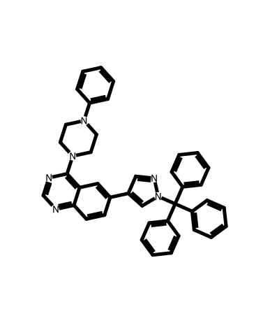 c1ccc(N2CCN(c3ncnc4ccc(-c5cnn(C(c6ccccc6)(c6ccccc6)c6ccccc6)c5)cc34)CC2)cc1